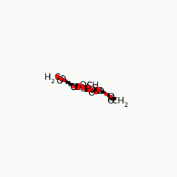 C=CC(=O)OCCCCCCOc1ccc(C(=O)Oc2ccc(OC(=O)c3ccc(OCCCCCOC(=O)C=C)cc3)c(C)c2)cc1